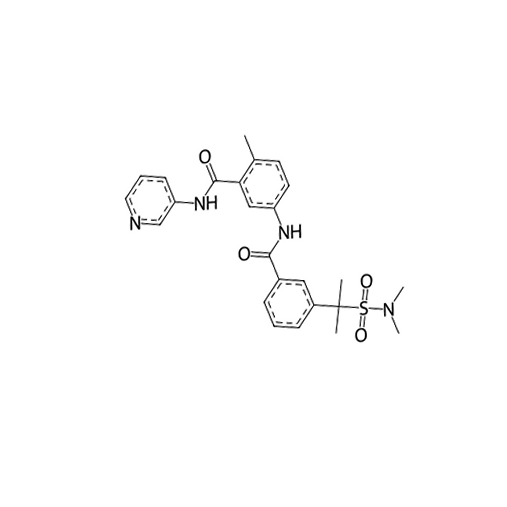 Cc1ccc(NC(=O)c2cccc(C(C)(C)S(=O)(=O)N(C)C)c2)cc1C(=O)Nc1cccnc1